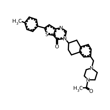 CC(=O)N1CCN(Cc2ccc3c(c2)CCC(n2cnc4cc(-c5ccc(C)cc5)sc4c2=O)C3)CC1